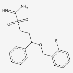 N=C(N)S(=O)(=O)CCC(OCc1ccccc1F)c1ccccc1